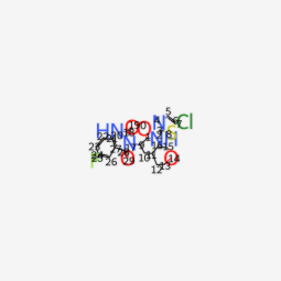 O=C(Nc1ncc(Cl)s1)C(CC1CCOCC1)n1c(=O)[nH]c2ccc(F)cc2c1=O